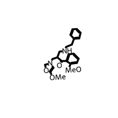 COC1=CN(CC(CNCCc2ccccc2)C(=O)c2ccccc2OC)CO1